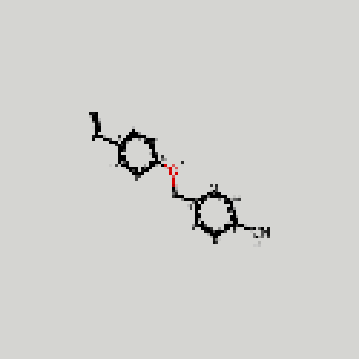 C=Cc1ccc(OCc2ccc(C#N)cc2)cc1